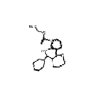 CCOC(=O)c1cccc2c1NC(C1CCCCC1)C1CCCOC21